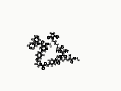 CC(C)[C@H](NC(=O)CCCCCN1C(=O)C=CC1=O)C(=O)N[C@@H](CCCNC(N)=O)C(=O)Nc1ccc(COC(=O)N2CC[C@@H](Oc3ccc(-c4cnc(N)c(C(=O)Nc5cnccc5N5CCOCC5)n4)cc3)C2)cc1